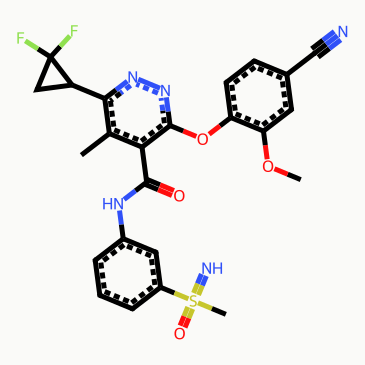 COc1cc(C#N)ccc1Oc1nnc(C2CC2(F)F)c(C)c1C(=O)Nc1cccc(S(C)(=N)=O)c1